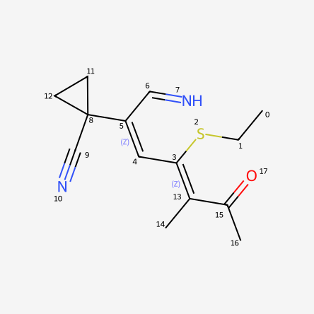 CCSC(/C=C(\C=N)C1(C#N)CC1)=C(/C)C(C)=O